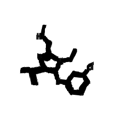 CCn1c(CNC)nc(C(C)C)c1Sc1cccc(Cl)c1